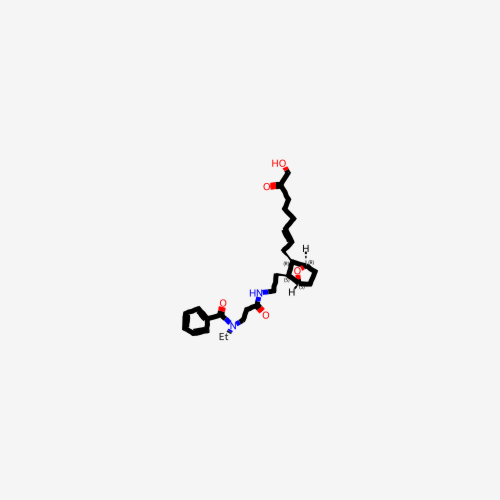 CCN(CCC(=O)NCC[C@H]1[C@@H](CC=CCCCC(=O)CO)[C@H]2CC[C@@H]1O2)C(=O)c1ccccc1